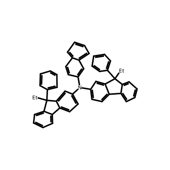 CCC1(c2ccccc2)c2ccccc2-c2ccc(N(c3ccc4c(c3)C(CC)(c3ccccc3)c3ccccc3-4)c3ccc4ccccc4c3)cc21